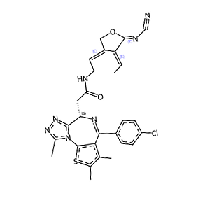 C/C=C1C(=N/C#N)/OCC/1=C/CNC(=O)C[C@@H]1N=C(c2ccc(Cl)cc2)c2c(sc(C)c2C)-n2c(C)nnc21